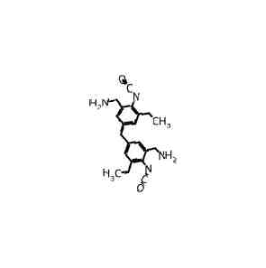 CCc1cc(Cc2cc(CC)c(N=C=O)c(CN)c2)cc(CN)c1N=C=O